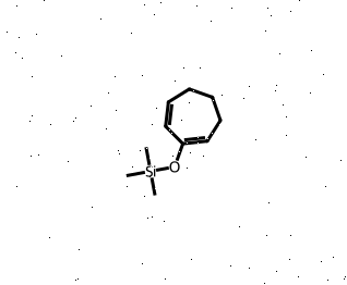 C[Si](C)(C)OC1=CCCCC=C1